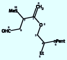 C=C(OCC(CC)CCCCC)C(CC=O)SC